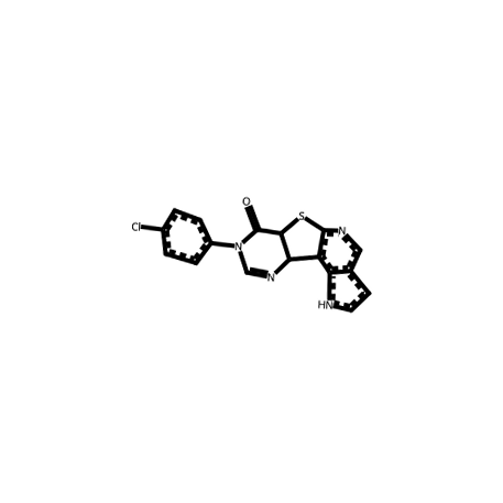 O=C1C2Sc3ncc4cc[nH]c4c3C2N=CN1c1ccc(Cl)cc1